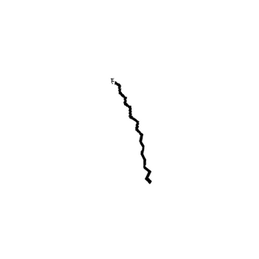 C=CCCCCCCCCCCCCCCCF